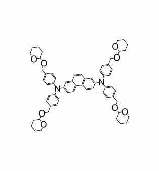 c1cc(N(c2ccc(COC3CCCCO3)cc2)c2ccc3c(ccc4cc(N(c5ccc(COC6CCCCO6)cc5)c5ccc(COC6CCCCO6)cc5)ccc43)c2)ccc1COC1CCCCO1